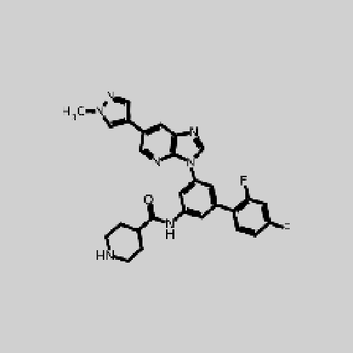 Cn1cc(-c2cnc3c(c2)ncn3-c2cc(NC(=O)C3CCNCC3)cc(-c3ccc(F)cc3F)c2)cn1